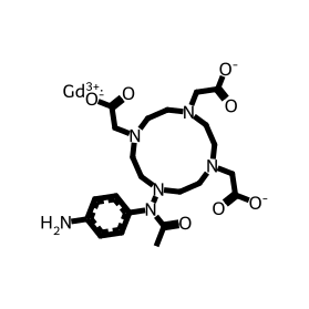 CC(=O)N(c1ccc(N)cc1)N1CCN(CC(=O)[O-])CCN(CC(=O)[O-])CCN(CC(=O)[O-])CC1.[Gd+3]